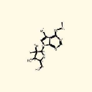 CONc1ncnc2c1c(Br)cn2C1OC(CO)C(O)C1(C)O